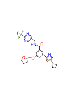 O=C(NCc1cnc(C(F)(F)F)nc1)c1cc(OCC2CCCO2)cc(-c2ncc(C3CCC3)s2)c1